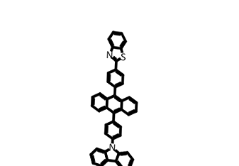 c1ccc2sc(-c3ccc(-c4c5ccccc5c(-c5ccc(-n6c7ccccc7c7ccccc76)cc5)c5ccccc45)cc3)nc2c1